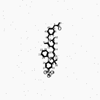 CC(=O)Cc1ccc(CN2C(C)=CC(=C/C=C/C3=[N+](c4ccccc4)c4ccc(S(=O)(=O)[O-])cc4C3(C)C)C=C2C)cc1